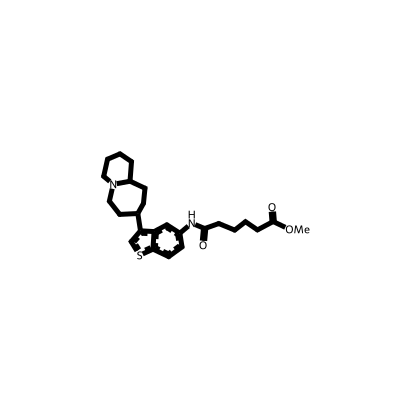 COC(=O)CCCCC(=O)Nc1ccc2scc(C3CCC4CCCCN4CC3)c2c1